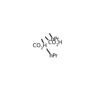 CC(=O)O.CC(=O)O.CCCC.CCCC